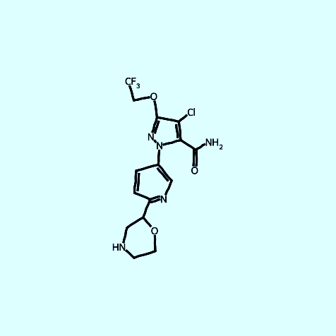 NC(=O)c1c(Cl)c(OCC(F)(F)F)nn1-c1ccc(C2CNCCO2)nc1